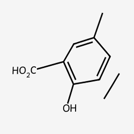 CC.Cc1ccc(O)c(C(=O)O)c1